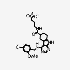 COc1cc(Cl)ccc1CNc1ncnc2[nH]c3c(c12)CC(C(=O)NCCCS(C)(=O)=O)CC3